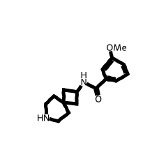 COc1cccc(C(=O)NC2CC3(CCNCC3)C2)c1